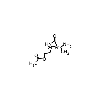 CC(=O)OCC[C@H]1NC(=O)[C@@H]1C(C)N